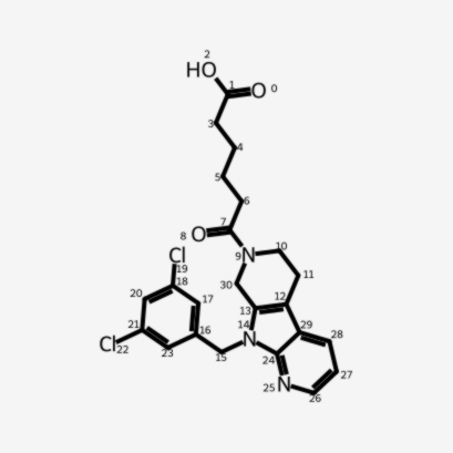 O=C(O)CCCCC(=O)N1CCc2c(n(Cc3cc(Cl)cc(Cl)c3)c3ncccc23)C1